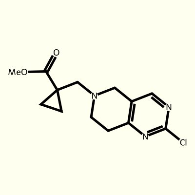 COC(=O)C1(CN2CCc3nc(Cl)ncc3C2)CC1